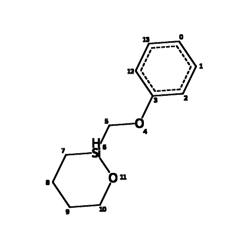 c1ccc(OC[SiH]2CCCCO2)cc1